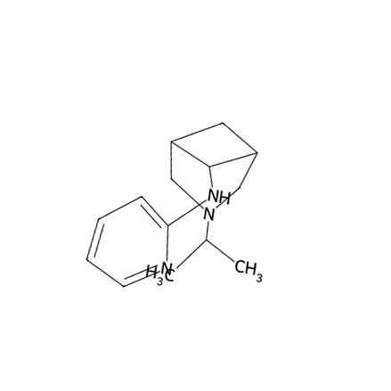 CC(C)N1CC2CC(C1)C2Nc1ccccn1